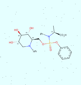 CCCN1C[C@H](O)[C@@H](O)[C@H](O)[C@H]1COP(=O)(Oc1ccccc1)N(C(C)C)[C@@H](C)C(=O)O